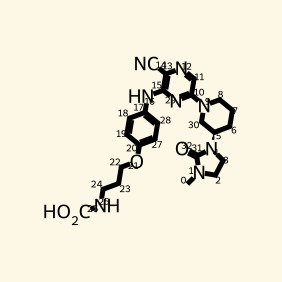 CN1CCN([C@H]2CCCN(c3cnc(C#N)c(Nc4ccc(OCCCNC(=O)O)cc4)n3)C2)C1=O